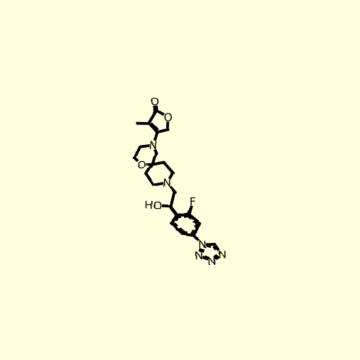 CC1=C(N2CCOC3(CCN(CC(O)c4ccc(-n5cnnn5)cc4F)CC3)C2)COC1=O